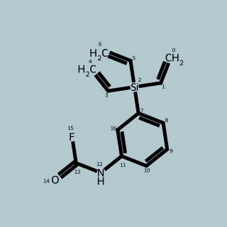 C=C[Si](C=C)(C=C)c1cccc(NC(=O)F)c1